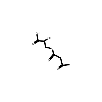 CC(=O)CC(=O)OCC(O)C(=O)O